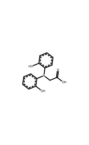 O=C(O)CN(c1ccccc1O)c1ccccc1O